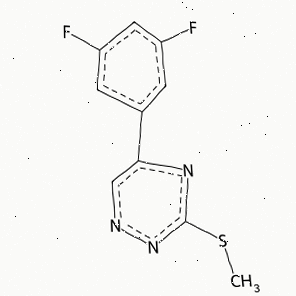 CSc1nncc(-c2cc(F)cc(F)c2)n1